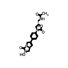 CC(=O)NC[C@H]1CN(c2ccc(C3=CC4CN(O)C(=O)N4C3)cc2)C(=O)O1